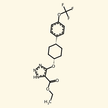 CCOC(=O)c1[nH]nnc1O[C@H]1CC[C@@H](c2ccc(OC(F)(F)F)cc2)CC1